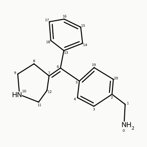 NCc1ccc(C(=C2CCNCC2)c2ccccc2)cc1